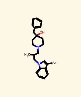 CC(=O)c1cn(CC(C)CN2CCC(O)(Cc3ccccc3)CC2)c2ccccc12